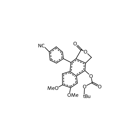 COc1cc2c(OC(=O)OC(C)(C)C)c3c(c(-c4ccc(C#N)cc4)c2cc1OC)C(=O)OC3